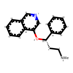 CNCC[C@H](Oc1cncc2ccccc12)c1ccccc1